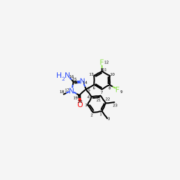 Cc1ccc(C2(c3cc(F)cc(F)c3)N=C(N)N(C)C2=O)cc1C